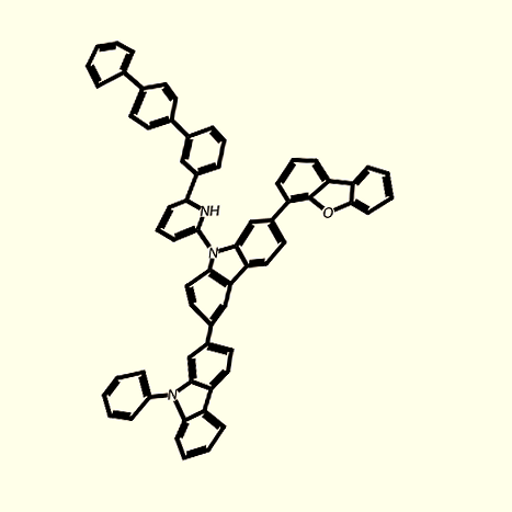 C1=CC(c2cccc(-c3ccc(-c4ccccc4)cc3)c2)NC(n2c3ccc(-c4ccc5c6ccccc6n(-c6ccccc6)c5c4)cc3c3ccc(-c4cccc5c4oc4ccccc45)cc32)=C1